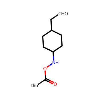 CC(C)(C)C(=O)ONC1CCC(CC=O)CC1